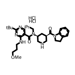 COCCCNc1nc(C(C)(C)C)ncc1C(=O)N(CC(C)C)[C@@H]1CNC[C@H](C(=O)N2CCc3ccccc32)C1.Cl.Cl